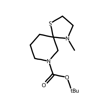 CN1CCSC12CCCN(C(=O)OC(C)(C)C)C2